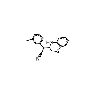 Cc1cccc(/C(C#N)=C2/CSc3ccccc3N2)c1